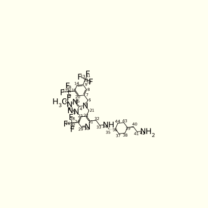 Cn1nnc(N(Cc2cc(C(F)(F)F)cc(C(F)(F)F)c2)Cc2cc(C(F)(F)F)cnc2CCNC[C@H]2CC[C@H](CCN)CC2)n1